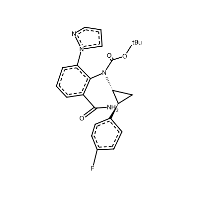 CC(C)(C)OC(=O)N(c1c(C(N)=O)cccc1-n1cccn1)[C@@H]1C[C@H]1c1ccc(F)cc1